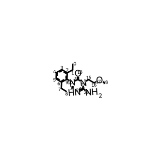 CCc1cccc(CC)c1N(C)C(=O)N(CCOC)C(=N)N